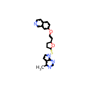 Cc1ncnc2c1ccn2SC1CCC(C=COc2ccc3ccncc3c2)O1